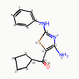 Nc1nc(Nc2ccccc2)sc1C(=O)C1CCCC1